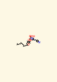 Cc1c(C)c2c(c(C)c1OC(=O)CC(C(=O)O)[n+]1ccc(/C=C/c3ccc(N(C)C)cc3)cc1)CCC(C)(CCCC(C)CCCC(C)CCCC(C)C)O2